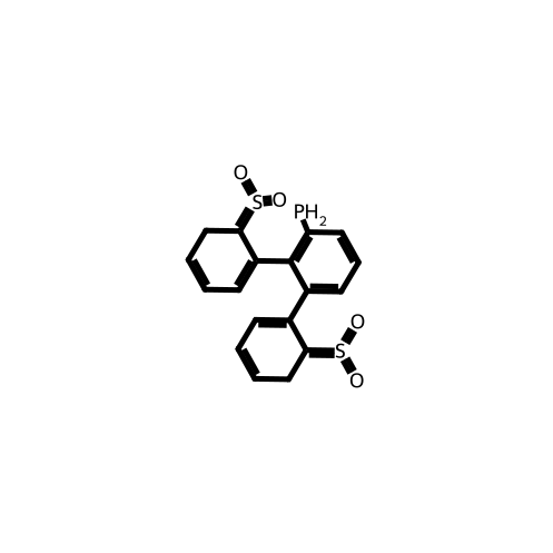 O=S(=O)=C1CC=CC=C1c1cccc(P)c1C1=CC=CCC1=S(=O)=O